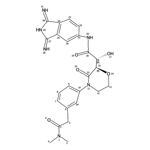 CN(C)C(=O)Cc1cccc(N2CCO[C@H]([C@@H](O)C(=O)Nc3ccc4c(c3)C(=N)NC4=N)C2=O)c1